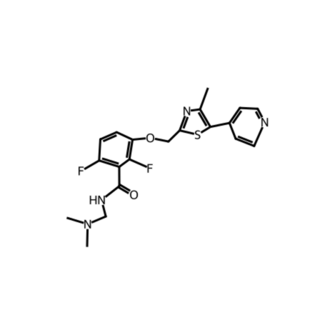 Cc1nc(COc2ccc(F)c(C(=O)NCN(C)C)c2F)sc1-c1ccncc1